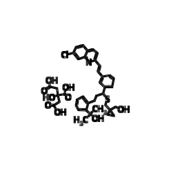 CC(C)(O)c1ccccc1CCC(SCC1(CO)CC1)c1cccc(C=Cc2ccc3ccc(Cl)cc3n2)c1.O=C(O)CC(O)(CC(=O)O)C(=O)O